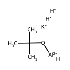 CC(C)(C)[O][Al+2].[H-].[H-].[H-].[K+]